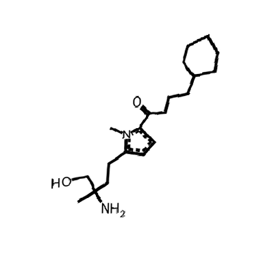 Cn1c(CCC(C)(N)CO)ccc1C(=O)CCCC1CCCCC1